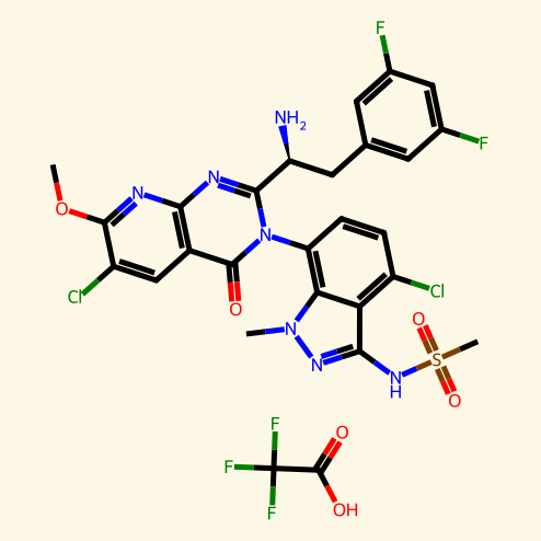 COc1nc2nc([C@@H](N)Cc3cc(F)cc(F)c3)n(-c3ccc(Cl)c4c(NS(C)(=O)=O)nn(C)c34)c(=O)c2cc1Cl.O=C(O)C(F)(F)F